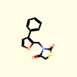 O=C1CSC(=O)N1Cc1occc1-c1ccccc1